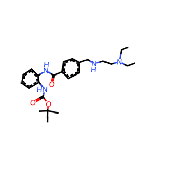 CCN(CC)CCNCc1ccc(C(=O)Nc2ccccc2NC(=O)OC(C)(C)C)cc1